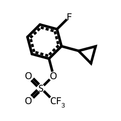 O=S(=O)(Oc1cccc(F)c1C1CC1)C(F)(F)F